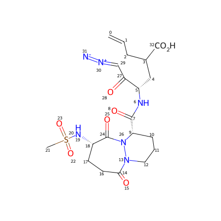 C=CCC(C[C@H](NC(=O)[C@@H]1CCCN2C(=O)CC[C@H](NS(C)(=O)=O)C(=O)N12)C(=O)C=[N+]=[N-])C(=O)O